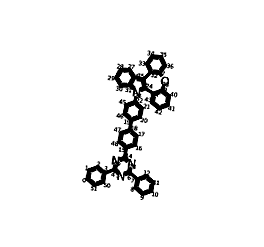 c1ccc(-c2nc(-c3ccccc3)nc(-c3ccc(-c4ccc(-n5c6c(c7ccccc75)-c5ccccc5Oc5ccccc5-6)cc4)cc3)n2)cc1